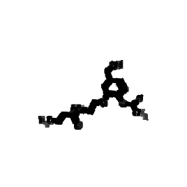 CCCC(=O)NCCOc1cc(CO)ccc1OC(C)=O